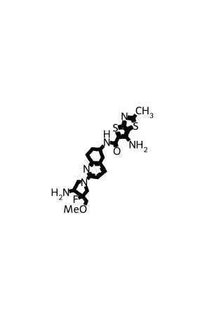 COCC1(F)CN(c2ccc3c(n2)CCC(NC(=O)c2sc4nc(C)sc4c2N)C3)CC1N